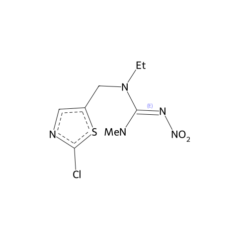 CCN(Cc1cnc(Cl)s1)/C(=N/[N+](=O)[O-])NC